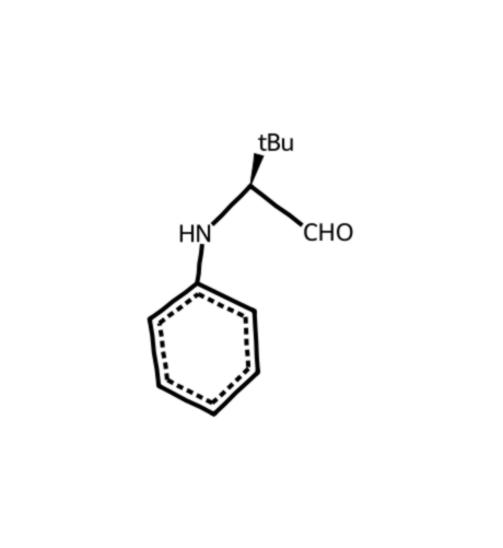 CC(C)(C)[C@@H](C=O)Nc1ccccc1